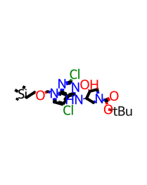 CC(C)(C)OC(=O)N1C[C@@H](O)[C@@H](Nc2nc(Cl)nc3c2c(Cl)cn3COCC[Si](C)(C)C)C1